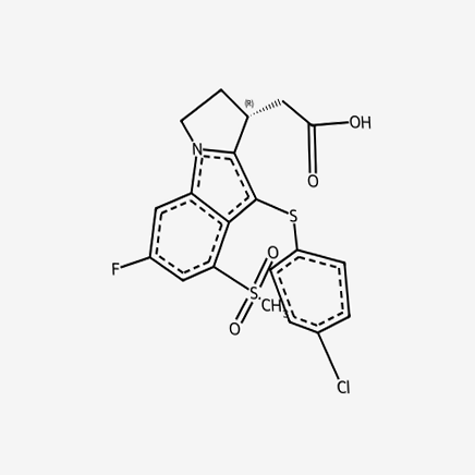 CS(=O)(=O)c1cc(F)cc2c1c(Sc1ccc(Cl)cc1)c1n2CC[C@@H]1CC(=O)O